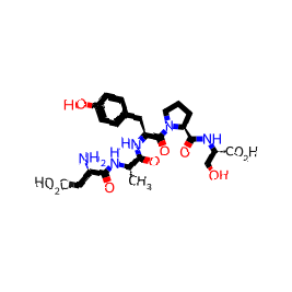 C[C@H](NC(=O)[C@@H](N)CC(=O)O)C(=O)N[C@@H](Cc1ccc(O)cc1)C(=O)N1CCC[C@H]1C(=O)N[C@@H](CO)C(=O)O